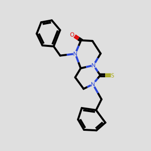 O=C1CCN2C(=S)N(Cc3ccccc3)CCC2N1Cc1ccccc1